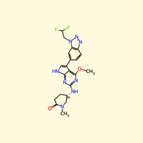 COc1nc(N[C@H]2CCC(=O)N(C)C2)nc2[nH]cc(-c3ccc4nnn(CC(F)F)c4c3)c12